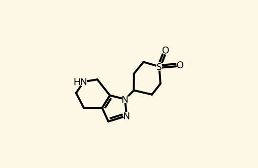 O=S1(=O)CCC(n2ncc3c2CNCC3)CC1